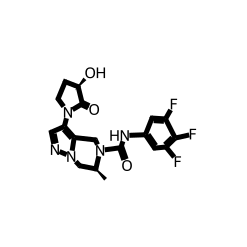 C[C@H]1Cn2ncc(N3CC[C@@H](O)C3=O)c2CN1C(=O)Nc1cc(F)c(F)c(F)c1